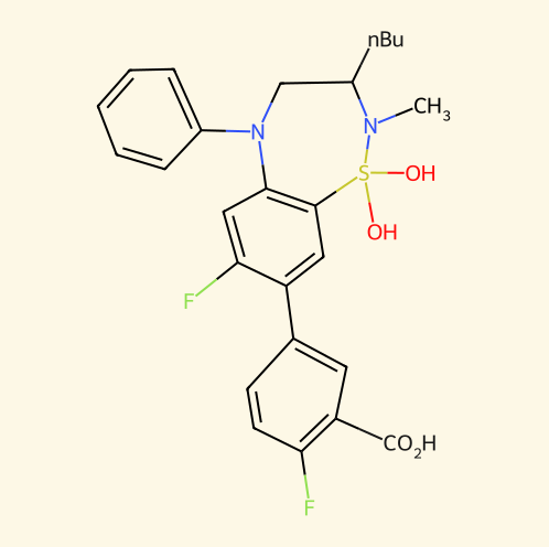 CCCCC1CN(c2ccccc2)c2cc(F)c(-c3ccc(F)c(C(=O)O)c3)cc2S(O)(O)N1C